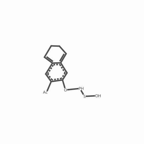 CC(=O)c1cc2c(cc1OPSO)=CCCC=2